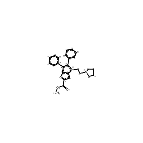 COC(=O)c1cc2c(s1)c(-c1ccccc1)c(-c1ccccc1)n2CCN1CCCC1